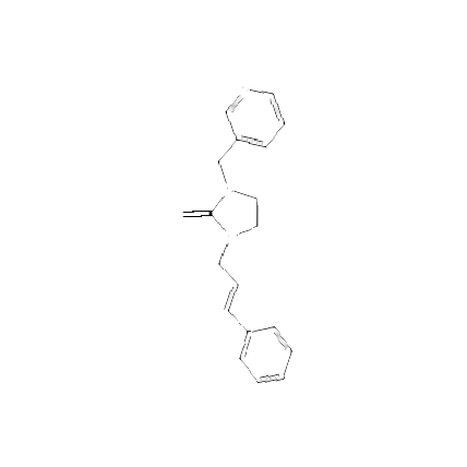 O=C1N(C/C=C/c2ccccc2)CCN1Cc1cccnc1